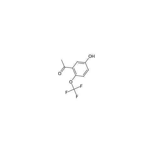 CC(=O)c1cc(O)ccc1OC(F)(F)F